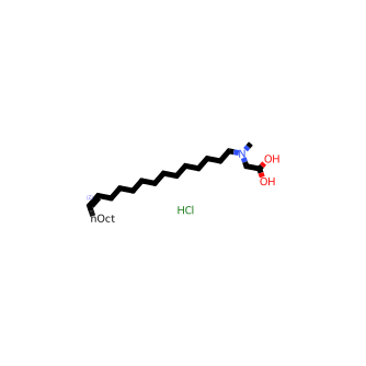 CCCCCCCC/C=C\CCCCCCCCCCCCN(C)CC(O)O.Cl